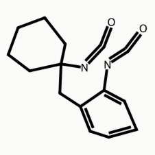 O=C=Nc1ccccc1CC1(N=C=O)CCCCC1